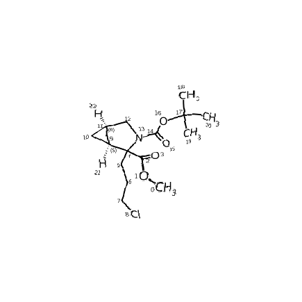 COC(=O)C1(CCCCl)[C@H]2C[C@H]2CN1C(=O)OC(C)(C)C